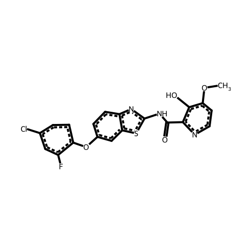 COc1ccnc(C(=O)Nc2nc3ccc(Oc4ccc(Cl)cc4F)cc3s2)c1O